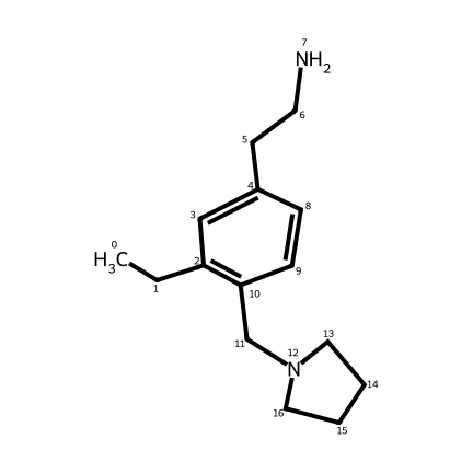 CCc1cc(CCN)ccc1CN1CCCC1